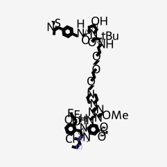 C=N/C(=C(Cl)\C=C/C)[C@@H](Nc1ccc(S(C)(=O)=O)cc1Nc1nc(OC)nc(N2CCN(CCOCCOCCOCCN[C@H](C(=O)N3C[C@H](O)C[C@H]3C(=O)NCc3ccc(-c4scnc4C)cc3)C(C)(C)C)CC2)n1)c1cccc2c1OC(F)(F)O2